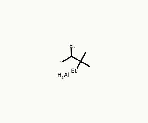 [AlH3].[CH2]C(CC)C(C)(C)CC